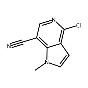 Cn1ccc2c(Cl)ncc(C#N)c21